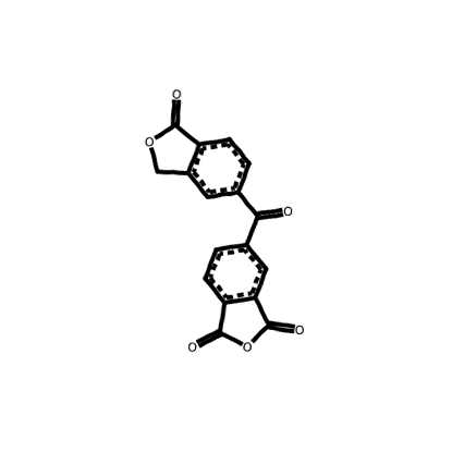 O=C(c1ccc2c(c1)COC2=O)c1ccc2c(c1)C(=O)OC2=O